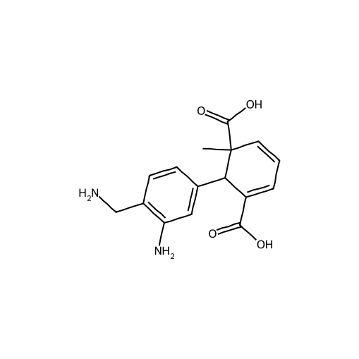 CC1(C(=O)O)C=CC=C(C(=O)O)C1c1ccc(CN)c(N)c1